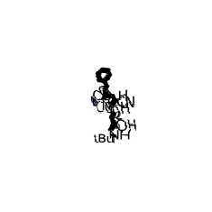 CC(C)(C)NC[C@H](O)COc1ncc(OCc2ccccc2)cc1C#N.O=C(O)/C=C\C(=O)O